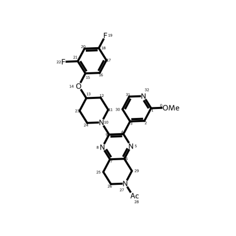 COc1cc(-c2nc3c(nc2N2CCC(Oc4ccc(F)cc4F)CC2)CCN(C(C)=O)C3)ccn1